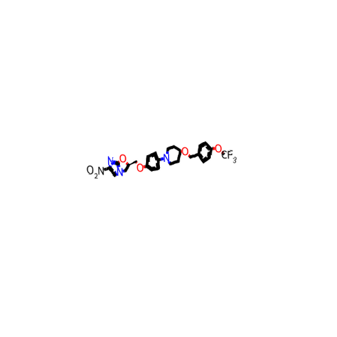 O=[N+]([O-])c1cn2c(n1)O[C@@H](COc1ccc(N3CCC(OCc4ccc(OC(F)(F)F)cc4)CC3)cc1)C2